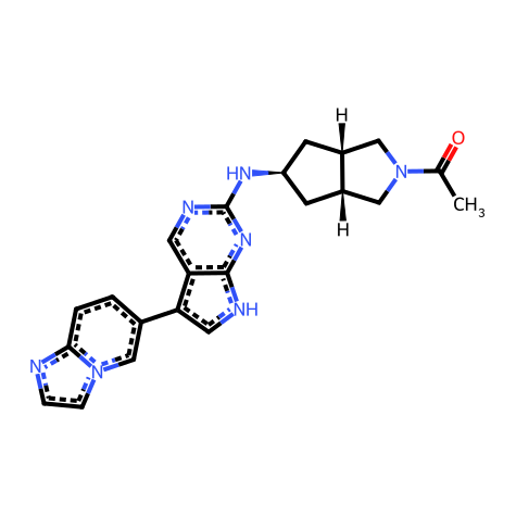 CC(=O)N1C[C@H]2C[C@H](Nc3ncc4c(-c5ccc6nccn6c5)c[nH]c4n3)C[C@H]2C1